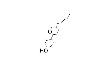 CCCCCC1CCC(C2CCC(O)CC2)OC1